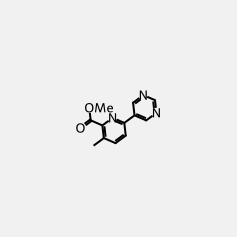 COC(=O)c1nc(-c2cncnc2)ccc1C